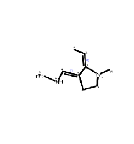 C/C=C1\C(=C\NCCC)CCN1C